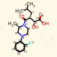 CC(C)C[C@H](C(=O)N1CCN(c2ccccc2F)C[C@H]1C)[C@H](O)C(=O)O